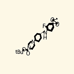 CC(C)(C)OC(=O)N1CCN([C@H]2CC[C@@H](CNc3ccc(S(C)(=O)=O)cc3F)CC2)CC1